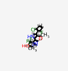 CC(=O)c1c(-c2c(F)cccc2Cl)c[nH]c1-c1cnn(CC(C)(C)O)c1C(F)(F)F